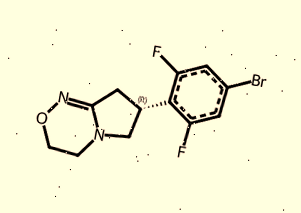 Fc1cc(Br)cc(F)c1[C@H]1CC2=NOCCN2C1